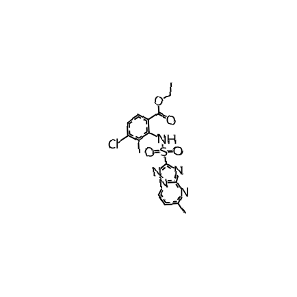 CCOC(=O)c1ccc(Cl)c(C)c1NS(=O)(=O)c1nc2nc(C)ccn2n1